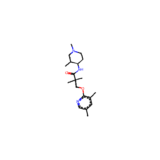 Cc1cnc(OCC(C)(C)C(=O)NC2CCN(C)CC2C)c(C)c1